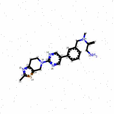 C=C(CN)N(C)Cc1cccc(-c2cnc(N3CCc4nc(C)sc4C3)nc2)c1